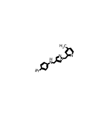 Cc1ccnc(Cn2cc(CNc3ccc(C(C)C)cc3)cn2)c1